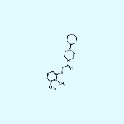 Cc1cccc(OCC(=O)N2CCN(C3CCCCC3)CC2)c1C